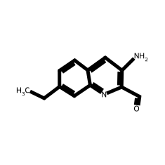 CCc1ccc2cc(N)c(C=O)nc2c1